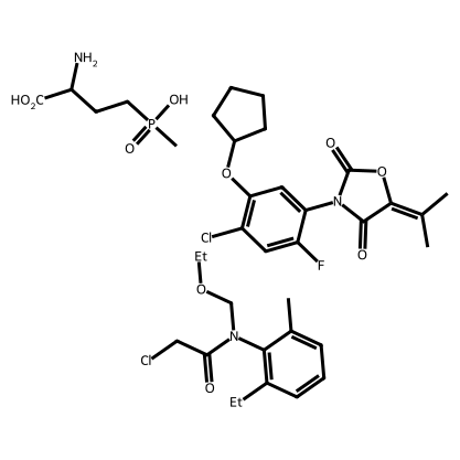 CC(C)=C1OC(=O)N(c2cc(OC3CCCC3)c(Cl)cc2F)C1=O.CCOCN(C(=O)CCl)c1c(C)cccc1CC.CP(=O)(O)CCC(N)C(=O)O